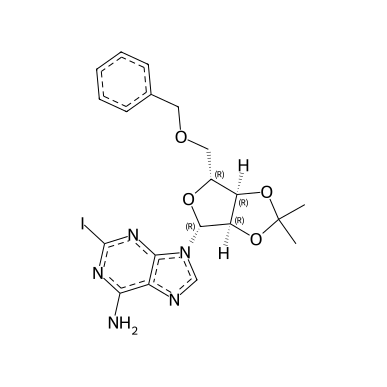 CC1(C)O[C@@H]2[C@H](O1)[C@@H](COCc1ccccc1)O[C@H]2n1cnc2c(N)nc(I)nc21